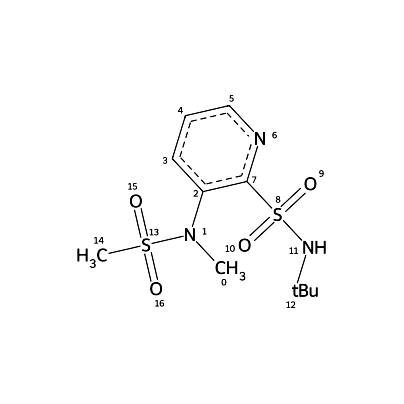 CN(c1cccnc1S(=O)(=O)NC(C)(C)C)S(C)(=O)=O